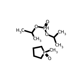 CC(C)O[PH](=O)OC(C)C.CP1(=O)CCCC1